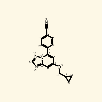 N#Cc1ccc(-c2cc(OCC3CC3)cc3ncnn23)cc1